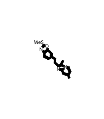 CSc1nc2ccc(CCc3nc4cc(C)ccn4c3C)cc2o1